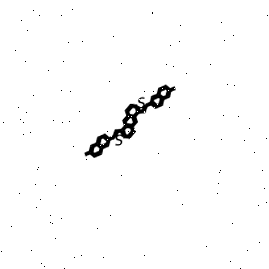 Cc1ccc2cc(-c3cc4c(ccc5cc6c(ccc7sc(-c8ccc9cc(C)ccc9c8)cc76)cc54)s3)ccc2c1